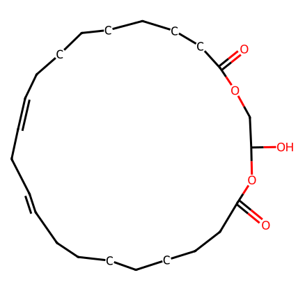 O=C1CCCCCCC/C=C/C/C=C/CCCCCCCC(=O)OC(O)CO1